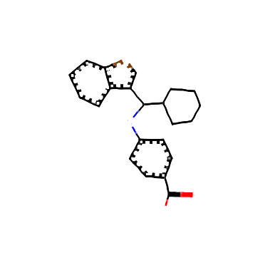 O=C(O)c1ccc(NC(c2csc3ccccc23)C2CCCCC2)cc1